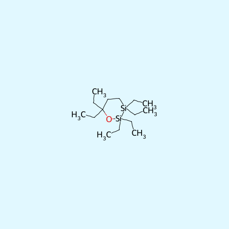 CCC1(CC)CC[Si](CC)(CC)[Si](CC)(CC)O1